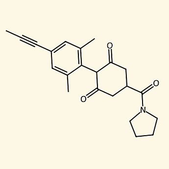 CC#Cc1cc(C)c(C2C(=O)CC(C(=O)N3CCCC3)CC2=O)c(C)c1